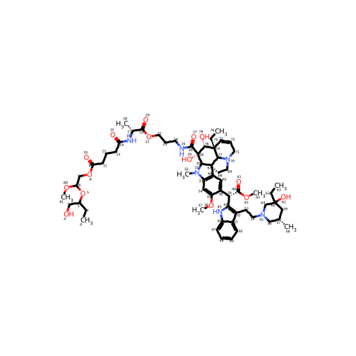 CCC(CO)OC(COC(=O)CCCC(=O)N[C@H](C)C(=O)OCCCNC(=O)[C@]1(O)C2N(C)c3cc(OC)c([C@H](C(=O)OC)c4[nH]c5ccccc5c4CCN4C[C@@H](C)CC(O)(CC)C4)cc3[C@@]23CCN2CC=C[C@](CC)(C23)[C@H]1O)OC